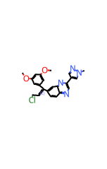 COc1cc(OC)cc(/C(=C\CCl)c2ccc3ncc(-c4cnn(C)c4)nc3c2)c1